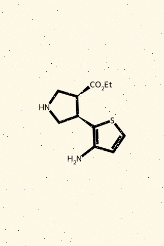 CCOC(=O)[C@@H]1CNC[C@@H]1c1sccc1N